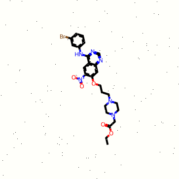 CCOC(=O)CN1CCN(CCCOc2cc3ncnc(Nc4cccc(Br)c4)c3cc2[N+](=O)[O-])CC1